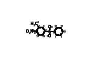 Cc1cc(S(=O)(=O)c2ccccc2)ccc1[N+](=O)[O-]